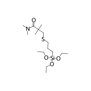 CCO[Si](CCCSCC(C)(C)C(=O)N(C)C)(OCC)OCC